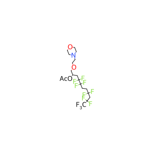 CC(=O)OC(COCCN1CCOCC1)CC(F)(F)C(F)(F)CCC(F)(F)CC(F)(F)C(F)(F)F